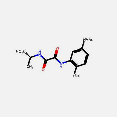 CC(=O)Nc1ccc(C(C)(C)C)c(NC(=O)C(=O)N[C@@H](C)C(=O)O)c1